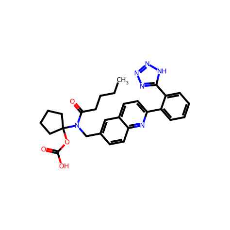 CCCCC(=O)N(Cc1ccc2nc(-c3ccccc3-c3nnn[nH]3)ccc2c1)C1(OC(=O)O)CCCC1